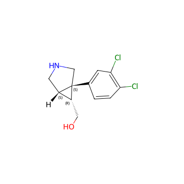 OC[C@@H]1[C@@H]2CNC[C@]12c1ccc(Cl)c(Cl)c1